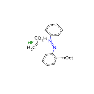 C=CC(=O)O.CCCCCCCCc1ccccc1N=Nc1ccccc1.F